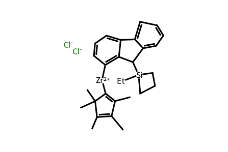 CC[Si]1(C2c3ccccc3-c3ccc[c]([Zr+2][C]4=C(C)C(C)=C(C)C4(C)C)c32)CCC1.[Cl-].[Cl-]